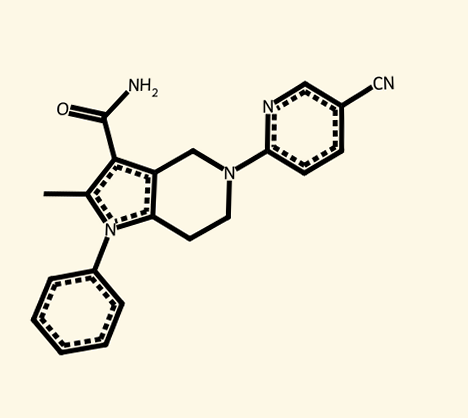 Cc1c(C(N)=O)c2c(n1-c1ccccc1)CCN(c1ccc(C#N)cn1)C2